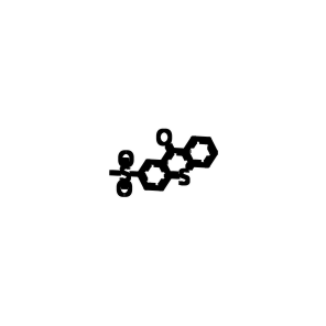 CS(=O)(=O)c1ccc2sc3ccccc3c(=O)c2c1